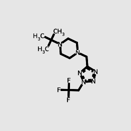 CC(C)(C)N1CCN(Cc2nnn(CC(F)(F)F)n2)CC1